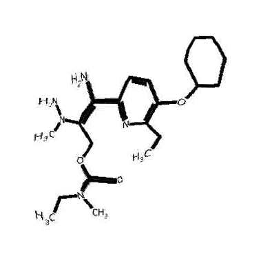 CCc1nc(/C(N)=C(\COC(=O)N(C)CC)N(C)N)ccc1OC1CCCCC1